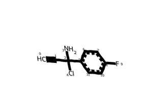 C#CC(N)(Cl)c1ccc(F)cc1